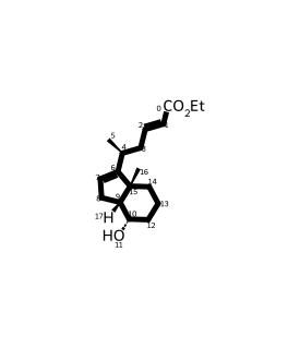 CCOC(=O)/C=C/C[C@H](C)C1=CC[C@H]2[C@@H](O)CCC[C@@]12C